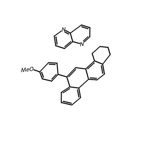 COc1ccc(-c2cc3c4c(ccc3c3ccccc23)CCCC4)cc1.c1cnc2cccnc2c1